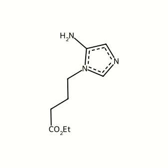 CCOC(=O)CCCn1cncc1N